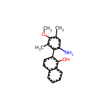 COc1c(C)cc(N)c(-c2ccc3ccccc3c2O)c1C